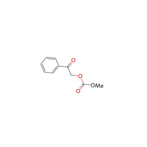 COC(=O)OCC(=O)c1ccccc1